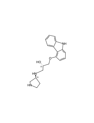 O[C@@H](CN[C@H]1CCNC1)COc1cccc2[nH]c3ccccc3c12